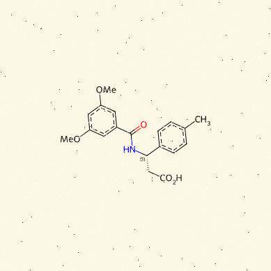 COc1cc(OC)cc(C(=O)N[C@@H](CC(=O)O)c2ccc(C)cc2)c1